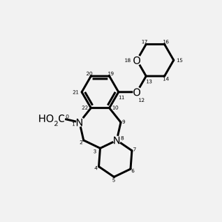 O=C(O)N1CC2CCCCN2Cc2c(OC3CCCCO3)cccc21